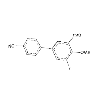 COc1c(F)cc(-c2ccc(C#N)cc2)cc1C=O